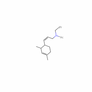 CC(=O)N(C/C=C\C1CCC(C)=CC1C)CC(C)C